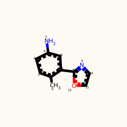 Cc1ccc(N)cc1-c1ncco1